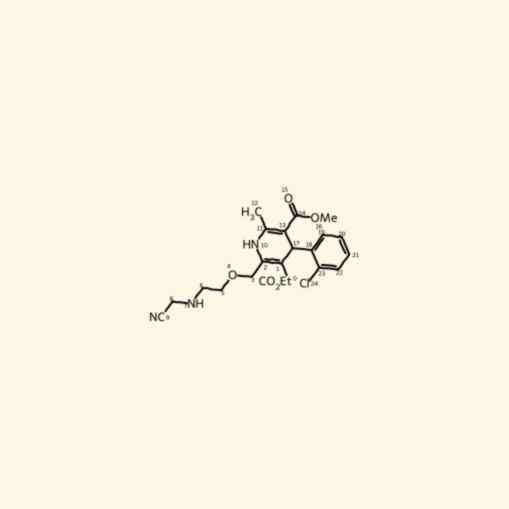 CCOC(=O)C1=C(COCCNCC#N)NC(C)=C(C(=O)OC)C1c1ccccc1Cl